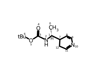 C[C@@H](NC(=O)OC(C)(C)C)C1C=CN=CC1